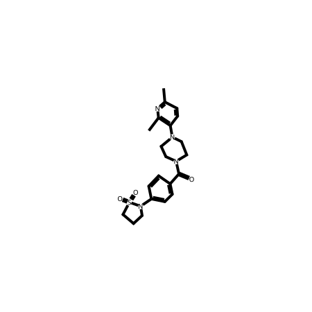 Cc1ccc(N2CCN(C(=O)c3ccc(N4CCCS4(=O)=O)cc3)CC2)c(C)n1